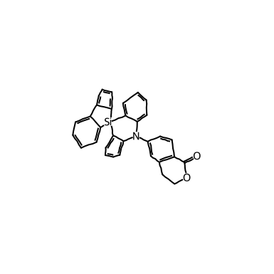 O=C1OCCc2cc(N3c4ccccc4[Si]4(c5ccccc5-c5ccccc54)c4ccccc43)ccc21